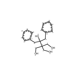 OCC(CO)(CO)C(O)(Cc1ccccc1)Cc1ccccc1